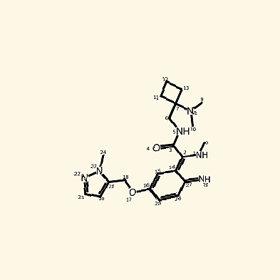 CN/C(C(=O)NCC1(N(C)C)CCC1)=C1/C=C(OCc2ccnn2C)C=CC1=N